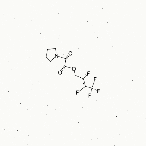 O=C(OC/C(F)=C(\F)C(F)(F)F)C(=O)N1CCCC1